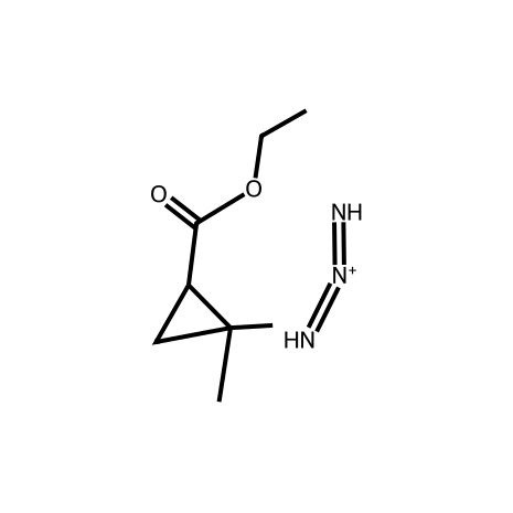 CCOC(=O)C1CC1(C)C.N=[N+]=N